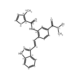 CCN(C)C(=O)c1ccc(C=Cc2n[nH]c3ccccc23)c(NC(=O)c2sccc2C)c1